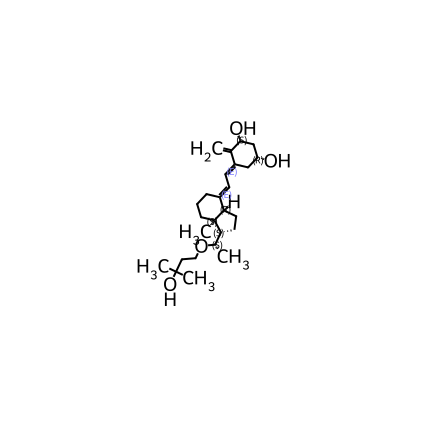 C=C1/C(=C/C=C2\CCC[C@]3(C)[C@@H]([C@H](C)OCCC(C)(C)O)CC[C@@H]23)C[C@@H](O)C[C@@H]1O